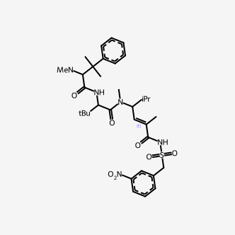 CNC(C(=O)NC(C(=O)N(C)C(/C=C(\C)C(=O)NS(=O)(=O)Cc1cccc([N+](=O)[O-])c1)C(C)C)C(C)(C)C)C(C)(C)c1ccccc1